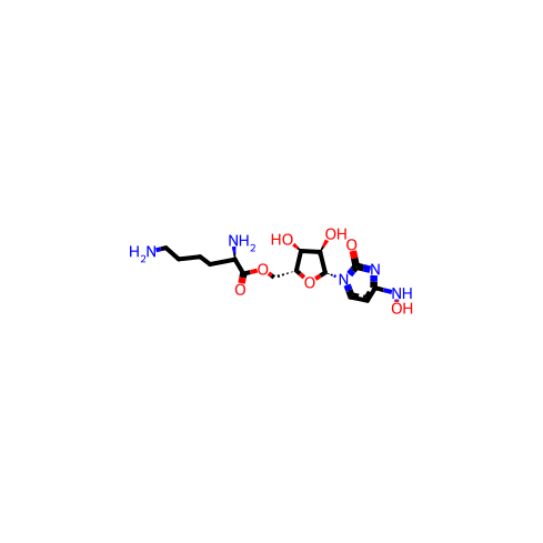 NCCCC[C@@H](N)C(=O)OC[C@H]1O[C@@H](n2ccc(NO)nc2=O)[C@H](O)[C@@H]1O